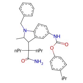 CCCC(CCC)(C(N)=O)C1c2cc(NC(=O)Oc3ccc(C(C)C)cc3)ccc2N(Cc2ccccc2)C1C